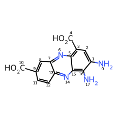 Nc1cc(C(=O)O)c2nc3cc(C(=O)O)ccc3nc2c1N